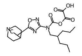 CCCC(CCC)CN(C(=O)OC(=O)C(=O)O)c1noc(C2CN3CCC2CC3)n1